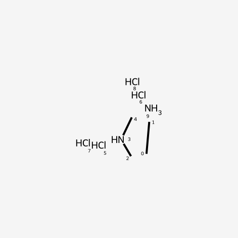 CC.CNC.Cl.Cl.Cl.Cl.N